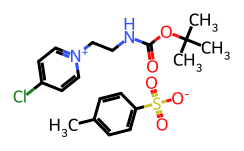 CC(C)(C)OC(=O)NCC[n+]1ccc(Cl)cc1.Cc1ccc(S(=O)(=O)[O-])cc1